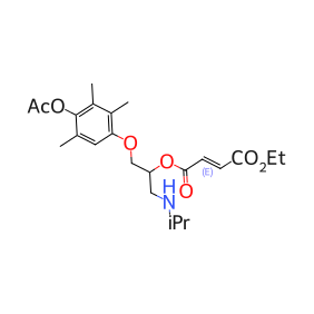 CCOC(=O)/C=C/C(=O)OC(CNC(C)C)COc1cc(C)c(OC(C)=O)c(C)c1C